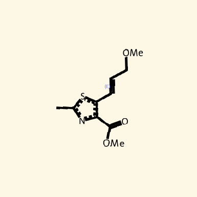 COC/C=C/c1sc(C)nc1C(=O)OC